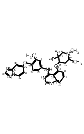 Cc1cc(Nc2ncnc3cccc(OC4CC(C)N(C)CC4(F)F)c23)ccc1Oc1ccn2ncnc2c1